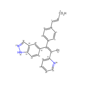 CCC(=C(c1ccc(C=CC(=O)O)cc1)c1ccc2[nH]ncc2c1)c1ccccn1